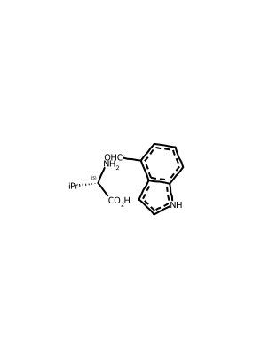 CC(C)[C@H](N)C(=O)O.O=Cc1cccc2[nH]ccc12